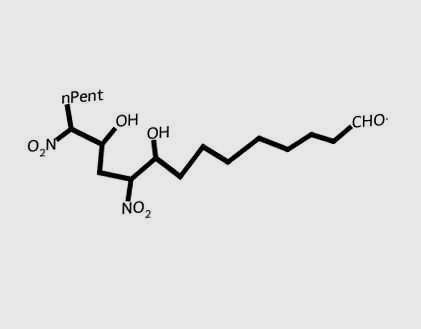 CCCCCC(C(O)CC(C(O)CCCCCCC[C]=O)[N+](=O)[O-])[N+](=O)[O-]